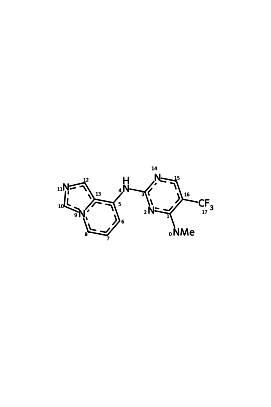 CNc1nc(Nc2cccn3cncc23)ncc1C(F)(F)F